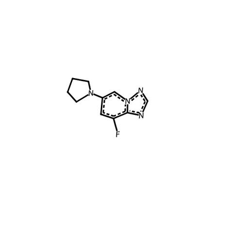 Fc1cc(N2CCCC2)cn2ncnc12